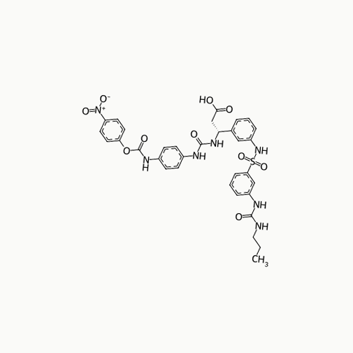 CCCNC(=O)Nc1cccc(S(=O)(=O)Nc2cccc([C@@H](CC(=O)O)NC(=O)Nc3ccc(NC(=O)Oc4ccc([N+](=O)[O-])cc4)cc3)c2)c1